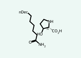 CCCCCCCCCCCCCCCC(N)=O.O=C(O)[C@H]1NCCC1O